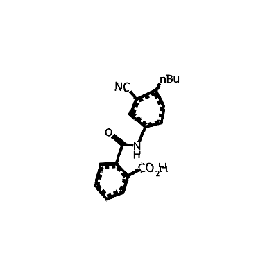 CCCCc1ccc(NC(=O)c2ccccc2C(=O)O)cc1C#N